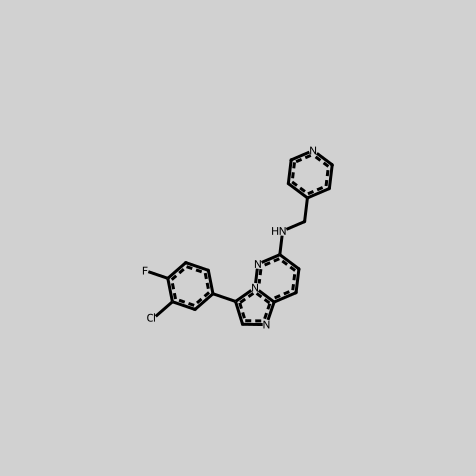 Fc1ccc(-c2cnc3ccc(NCc4ccncc4)nn23)cc1Cl